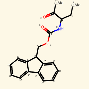 COCC(NC(=O)OCC1c2ccccc2-c2ccccc21)C(=O)OC